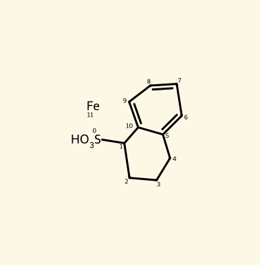 O=S(=O)(O)C1CCCc2ccccc21.[Fe]